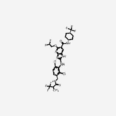 CC(C(=O)NCc1ccc(Cl)c(Nc2nc3nc(OCC(F)F)c(C(=O)N[C@H]4CC[C@H](C(F)(F)F)CC4)cc3[nH]2)c1Cl)C(F)(F)F